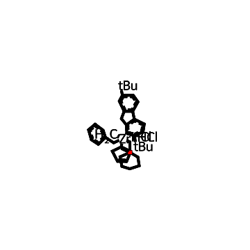 Cl.Cl.[CH2]=[Zr]([CH2]c1ccccc1)([CH2]C1CCCCC1)([C]1=CC=CC1)[c]1c(C(C)(C)C)ccc2c1Cc1cc(C(C)(C)C)ccc1-2